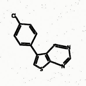 Clc1ccc(-c2csc3ncn[c]c23)cc1